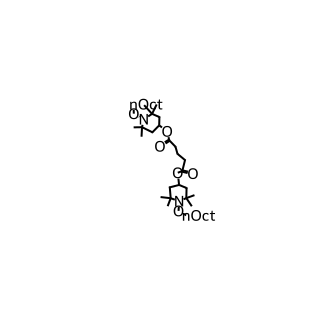 CCCCCCCCON1C(C)(C)CC(OC(=O)CCCC(=O)OC2CC(C)(C)N(OCCCCCCCC)C(C)(C)C2)CC1(C)C